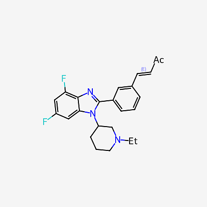 CCN1CCCC(n2c(-c3cccc(/C=C/C(C)=O)c3)nc3c(F)cc(F)cc32)C1